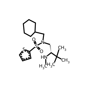 CN[C@H](CN(CC1CCCCC1)S(=O)(=O)c1cccs1)C(C)(C)C